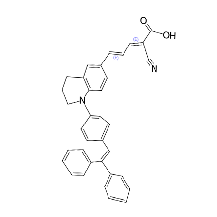 N#C/C(=C\C=C\c1ccc2c(c1)CCCN2c1ccc(C=C(c2ccccc2)c2ccccc2)cc1)C(=O)O